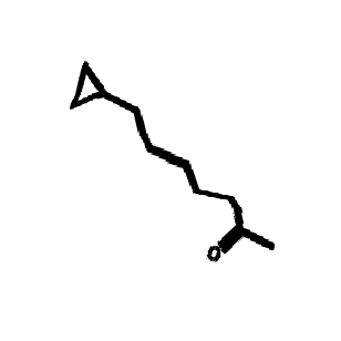 CC(=O)CCCCCC1CC1